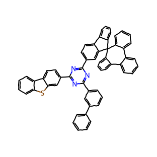 c1ccc(-c2cccc(-c3nc(-c4ccc5c(c4)C4(c6ccccc6-c6ccccc6-c6ccccc64)c4ccccc4-5)nc(-c4ccc5c(c4)sc4ccccc45)n3)c2)cc1